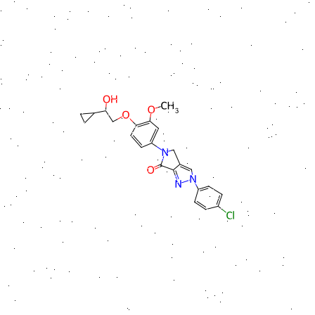 COc1cc(N2Cc3cn(-c4ccc(Cl)cc4)nc3C2=O)ccc1OCC(O)C1CC1